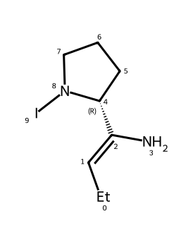 CCC=C(N)[C@H]1CCCN1I